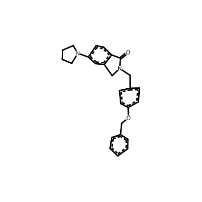 O=C1c2ccc(N3CCCC3)cc2CN1Cc1ccc(OCc2ccccc2)cc1